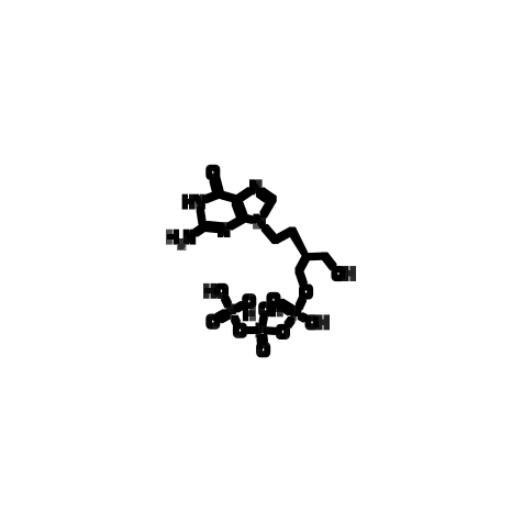 Nc1nc2c(ncn2CC[C@@H](CO)COP(=O)(O)OP(=O)(O)OP(=O)(O)O)c(=O)[nH]1